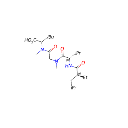 CCC(C)C(C(=O)O)N(C)C(=O)CN(C)C(=O)[C@@H](NC(=O)[C@@H](CC)CC(C)C)C(C)C